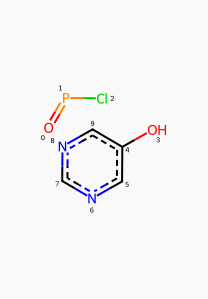 O=PCl.Oc1cncnc1